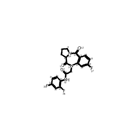 O=C(CN1C(=O)C2CCCN2C(=O)c2ccc(F)cc21)Nc1ccc(F)cc1F